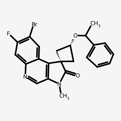 CC(O[C@H]1C[C@]2(C1)C(=O)N(C)c1cnc3cc(F)c(Br)cc3c12)c1ccccc1